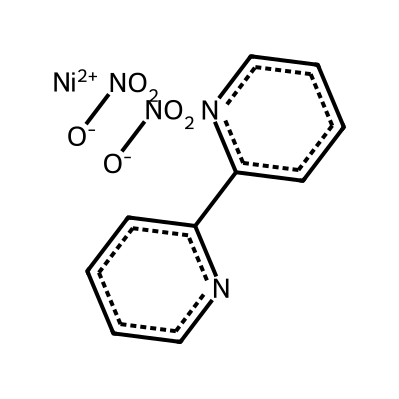 O=[N+]([O-])[O-].O=[N+]([O-])[O-].[Ni+2].c1ccc(-c2ccccn2)nc1